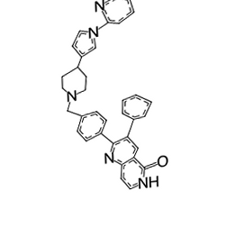 O=c1[nH]ccc2nc(-c3ccc(CN4CCC(c5ccn(-c6ccccn6)c5)CC4)cc3)c(-c3ccccc3)cc12